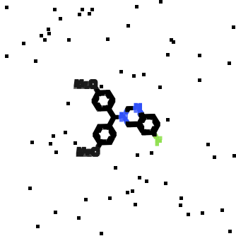 COc1ccc(C(c2ccc(OC)cc2)N2C=c3cc(F)ccc3=NC2)cc1